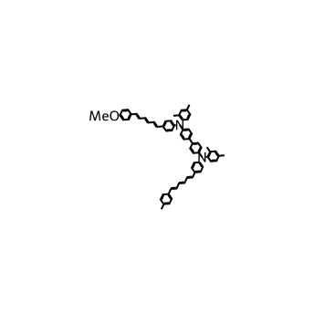 COc1ccc(C=CC=CC=Cc2ccc(N(c3ccc(-c4ccc(N(c5ccc(C=CC=CC=Cc6ccc(C)cc6)cc5)c5ccc(C)cc5C)cc4)cc3)c3ccc(C)cc3C)cc2)cc1